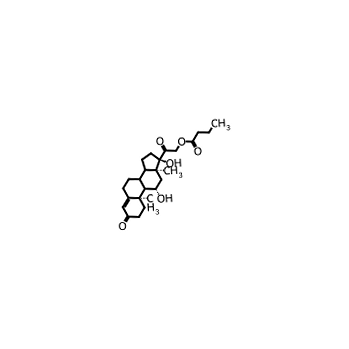 CCCC(=O)OCC(=O)[C@@]1(O)CCC2C3CCC4=CC(=O)CC[C@]4(C)C3[C@@H](O)C[C@@]21C